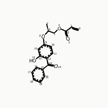 C=CC(=O)OCC(C)Oc1ccc(C(=O)c2ccccc2)c(O)c1